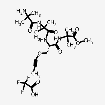 CC#COC[C@H](NC(=O)C(C)(C)NC(=O)C(C)(C)N)C(=O)NC(C)(C)C(=O)OC.O=C(O)C(F)(F)F